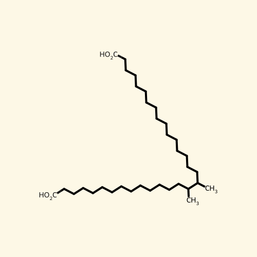 CC(CCCCCCCCCCCCCCCC(=O)O)C(C)CCCCCCCCCCCCCC(=O)O